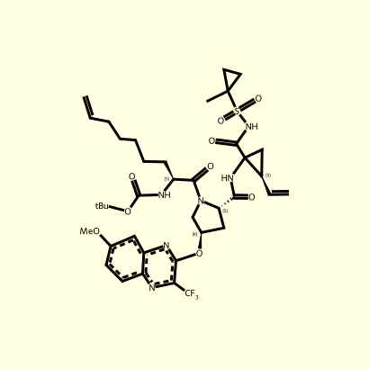 C=CCCCCC[C@H](NC(=O)OC(C)(C)C)C(=O)N1C[C@H](Oc2nc3cc(OC)ccc3nc2C(F)(F)F)C[C@H]1C(=O)NC1(C(=O)NS(=O)(=O)C2(C)CC2)C[C@H]1C=C